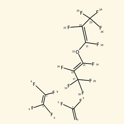 C=C(F)F.FC(F)=C(F)F.FC(OC(F)=C(F)C(F)(F)F)=C(F)C(F)(F)F